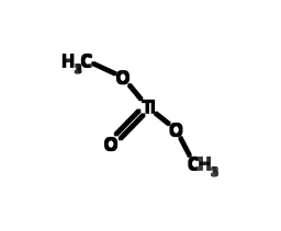 C[O][Ti](=[O])[O]C